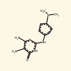 CN(C)c1ccc(Nc2nc(N)c(N)c(=O)[nH]2)cc1